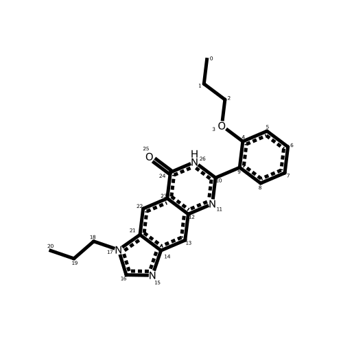 CCCOc1ccccc1-c1nc2cc3ncn(CCC)c3cc2c(=O)[nH]1